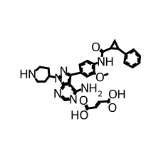 COc1cc(-c2nn(C3CCNCC3)c3ncnc(N)c23)ccc1NC(=O)C1CC1c1ccccc1.O=C(O)C=CC(=O)O